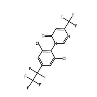 O=c1cc(C(F)(F)F)ncn1-c1c(Cl)cc(C(F)(F)C(F)(F)F)cc1Cl